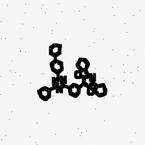 c1ccc(-c2ccc(-c3nc(-c4ccccc4)nc(-c4cccc(-c5c6oc7ccccc7c6nc6c5oc5ccccc56)c4)n3)cc2)cc1